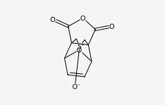 O=C1OC(=O)C23C[S+]([O-])CC12C1C=CC3O1